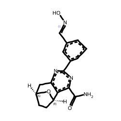 NC(=O)c1nc(-c2cccc(/C=N/O)c2)nc2c1[C@H]1CC[C@@H](C2)O1